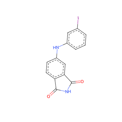 O=C1NC(=O)c2cc(Nc3cccc(I)c3)ccc21